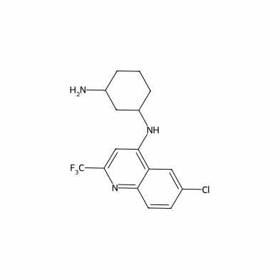 NC1CCCC(Nc2cc(C(F)(F)F)nc3ccc(Cl)cc23)C1